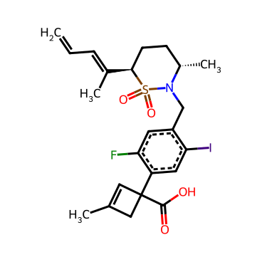 C=C/C=C(\C)[C@H]1CC[C@H](C)N(Cc2cc(F)c(C3(C(=O)O)C=C(C)C3)cc2I)S1(=O)=O